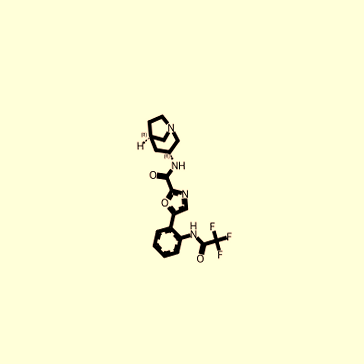 O=C(N[C@@H]1C[C@H]2CCN(C2)C1)c1ncc(-c2ccccc2NC(=O)C(F)(F)F)o1